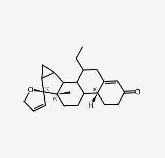 CCC1CC2=CC(=O)CC[C@@H]2C2CC[C@@]3(C)C(C4CC4[C@@]34C=CCO4)C12